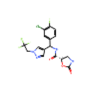 O=C1NC[C@@H](C(=O)NC(c2ccc(F)c(Cl)c2)c2cnn(CC(F)(F)F)c2)O1